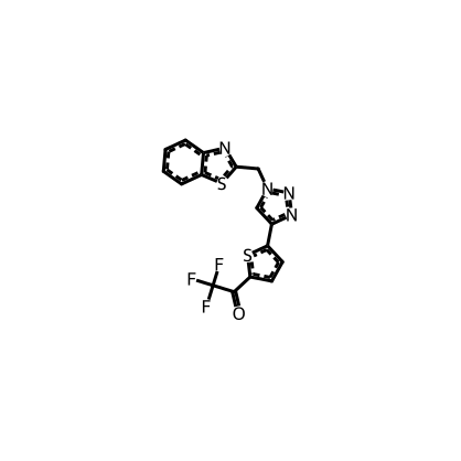 O=C(c1ccc(-c2cn(Cc3nc4ccccc4s3)nn2)s1)C(F)(F)F